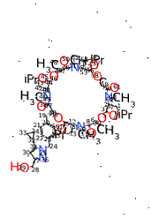 CC(C)C[C@H]1C(=O)O[C@H](C)C(=O)N(C)[C@@H](CC(C)C)C(=O)O[C@H](Cc2ccc(Cn3nc(CO)cc3C3CC3)cc2)C(=O)N(C)[C@@H](CC(C)C)C(=O)O[C@H](C)C(=O)N(C)[C@@H](CC(C)C)C(=O)OCC(=O)N1C